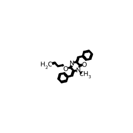 C=CCCOc1nc(=Cc2ccccc2)c(=O)n(C)c1=Cc1ccccc1